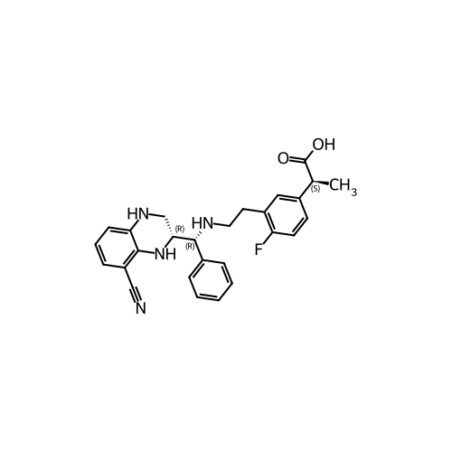 C[C@H](C(=O)O)c1ccc(F)c(CCN[C@H](c2ccccc2)[C@H]2CNc3cccc(C#N)c3N2)c1